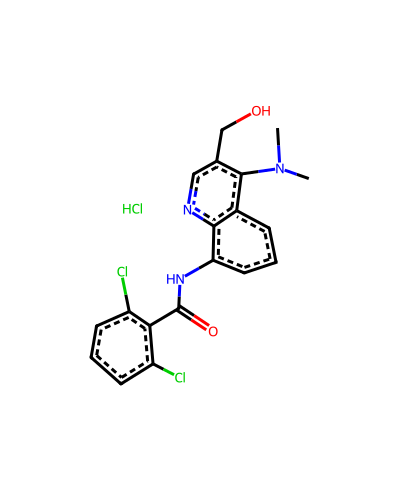 CN(C)c1c(CO)cnc2c(NC(=O)c3c(Cl)cccc3Cl)cccc12.Cl